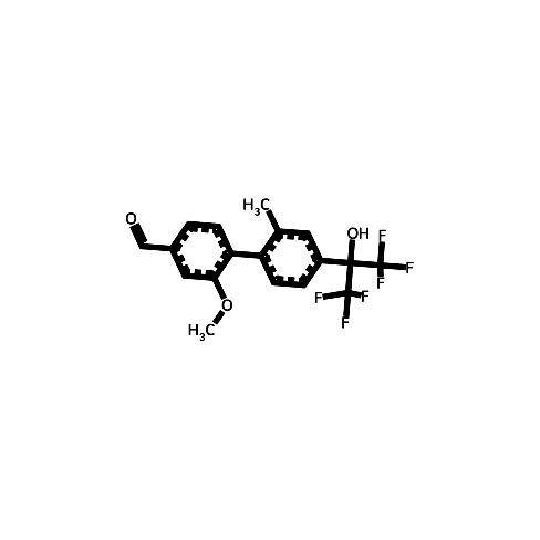 COc1cc(C=O)ccc1-c1ccc(C(O)(C(F)(F)F)C(F)(F)F)cc1C